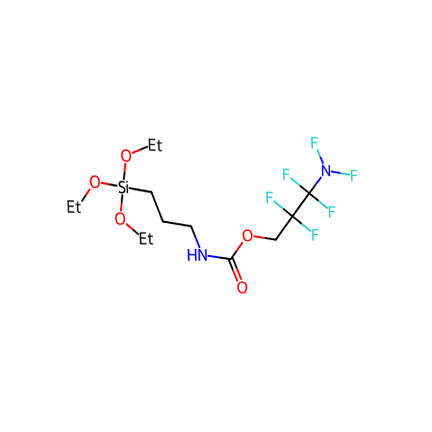 CCO[Si](CCCNC(=O)OCC(F)(F)C(F)(F)N(F)F)(OCC)OCC